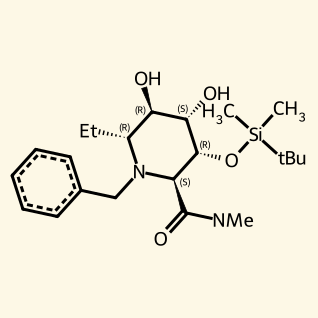 CC[C@@H]1[C@@H](O)[C@H](O)[C@H](O[Si](C)(C)C(C)(C)C)[C@@H](C(=O)NC)N1Cc1ccccc1